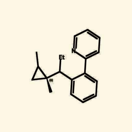 CCC(c1ccccc1-c1ccccn1)[C@]1(C)CC1C